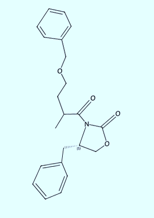 CC(CCOCc1ccccc1)C(=O)N1C(=O)OC[C@@H]1Cc1ccccc1